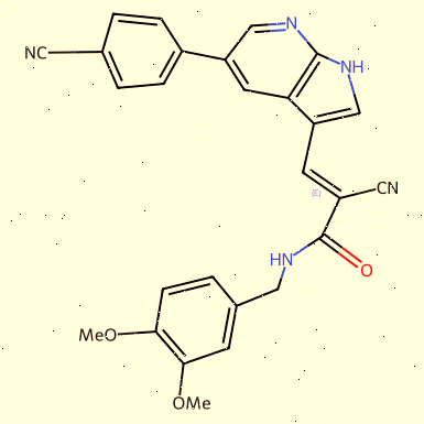 COc1ccc(CNC(=O)/C(C#N)=C/c2c[nH]c3ncc(-c4ccc(C#N)cc4)cc23)cc1OC